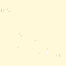 C/C=C/C(=O)OCCN(CC)c1ccc(N)cc1